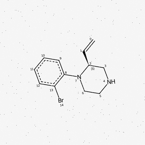 C=C[C@H]1CNCCN1c1ccccc1Br